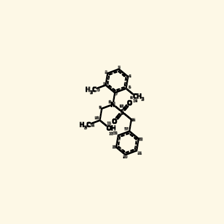 Cc1cccc(C)c1N(CC(C)O)S(=O)(=O)Cc1ccccc1